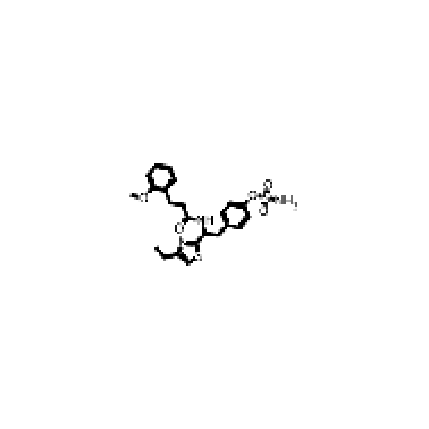 CCc1csc(C(Cc2ccc(OS(N)(=O)=O)cc2)NC(=O)CCc2ccccc2OC)n1